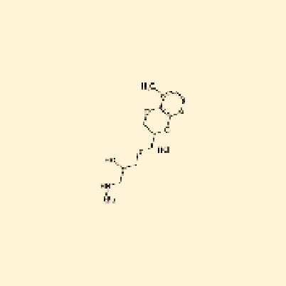 Cc1cccc2c1OCC(COCC(O)CNC(C)(C)C)O2.Cl